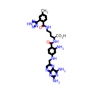 Cc1ccc(C(=O)NCCC[C@H](NC(=O)c2ccc(NCc3cnc4nc(N)nc(N)c4n3)cc2N)C(=O)O)c(-c2nn[nH]n2)c1